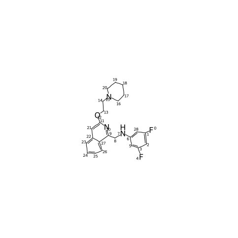 Fc1cc(F)cc(NCc2nc(OCCN3CCCCC3)cc3ccccc23)c1